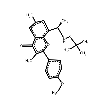 COc1ccc(-c2oc3c([C@@H](C)NSC(C)(C)C)cc(C)cc3c(=O)c2C)cc1